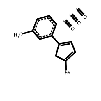 Cc1cccc(C2=CC=[C]([Fe])C2)c1.[C]=O.[C]=O.[C]=O